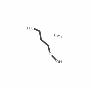 CCCCOO.[SnH2]